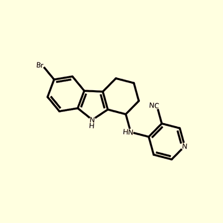 N#Cc1cnccc1NC1CCCc2c1[nH]c1ccc(Br)cc21